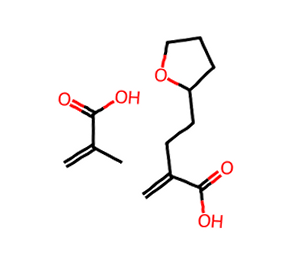 C=C(C)C(=O)O.C=C(CCC1CCCO1)C(=O)O